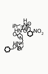 CC(C)C[C@@H](CN1CC(=O)C(NC(=O)[C@H](CC(C)C)NS(=O)(=O)Cc2ccccc2[N+](=O)[O-])C1)NC(=O)OCc1ccccc1